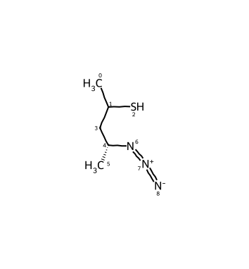 CC(S)C[C@@H](C)N=[N+]=[N-]